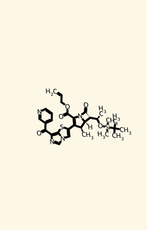 C=CCOC(=O)C1=C(c2cn3cnc(C(=O)c4cccnc4)c3s2)[C@H](C)[C@@H]2[C@@H]([C@@H](C)O[Si](C)(C)C(C)(C)C)C(=O)N12